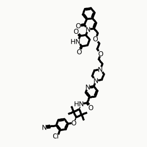 CC1(C)[C@H](NC(=O)c2ccc(N3CCN(CCOCCOCc4cc5ccccc5c(=O)n4C4CCC(=O)NC4=O)CC3)nc2)C(C)(C)[C@H]1Oc1ccc(C#N)c(Cl)c1